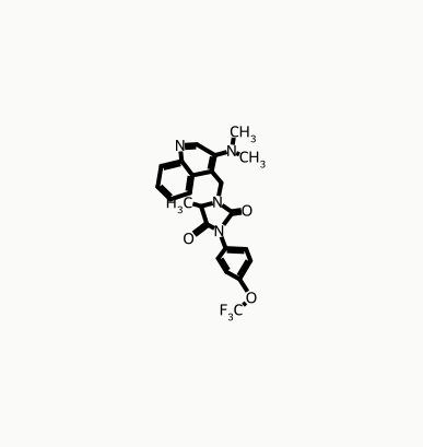 CC1C(=O)N(c2ccc(OC(F)(F)F)cc2)C(=O)N1Cc1c(N(C)C)cnc2ccccc12